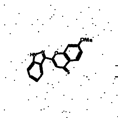 COc1ccc2c(=S)cc(-c3n[nH]c4ccccc34)oc2c1